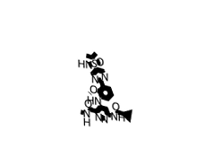 CNC(=O)c1nnc(NC(=O)C2CC2)cc1Nc1cccc(-c2ncc(S(=N)(=O)C(C)C)cn2)c1OC